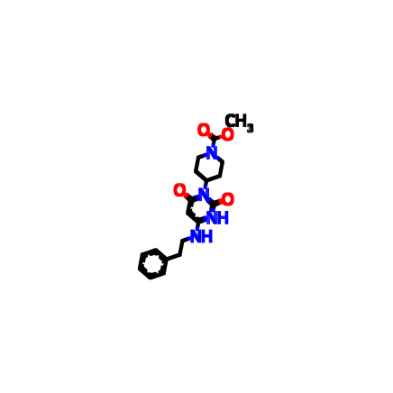 COC(=O)N1CCC(n2c(=O)cc(NCCc3ccccc3)[nH]c2=O)CC1